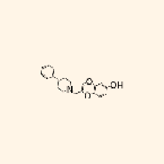 Oc1ccc2c(c1)OC=C(CN1CCC(c3ccccc3)CC1)O2